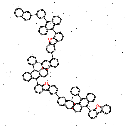 c1cc(-c2ccc3ccccc3c2)cc(-c2c3ccccc3c(-c3cccc4c3oc3ccc(-c5cccc6ccc(-c7ccccc7-c7c8ccccc8c(-c8cccc9c8oc8ccc(-c%10ccc%11cccc(-c%12ccccc%12-c%12c%13ccccc%13c(-c%13cccc%14c%13oc%13ccccc%13%14)c%13ccccc%12%13)c%11c%10)cc89)c8ccccc78)cc56)cc34)c3ccccc23)c1